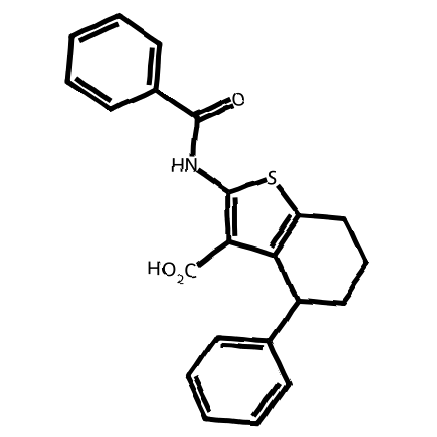 O=C(Nc1sc2c(c1C(=O)O)C(c1ccccc1)CCC2)c1ccccc1